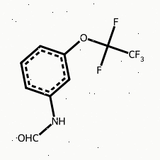 O=[C]Nc1cccc(OC(F)(F)C(F)(F)F)c1